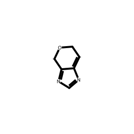 [C]1=C2N=CN=C2[CH]OC1